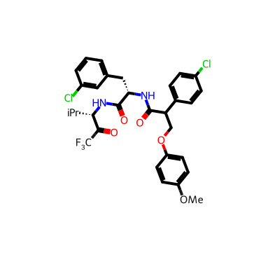 COc1ccc(OCC(C(=O)N[C@@H](Cc2cccc(Cl)c2)C(=O)N[C@H](C(=O)C(F)(F)F)C(C)C)c2ccc(Cl)cc2)cc1